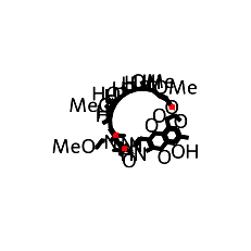 COCCN1CCN(/N=C/C2=C3NC(=O)/C(C)=C\C=C\[C@H](C)[C@H](OC)[C@@H](C)[C@@H](O)[C@@H](C)[C@H](OC)[C@H](C)[C@@H](OC)/C=C/O[C@@]4(C)Oc5c(C)c(O)c(c(c5C4=O)C2=O)C3=O)CC1